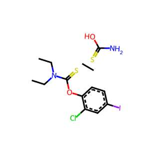 CC.CCN(CC)C(=S)Oc1ccc(I)cc1Cl.NC(O)=S